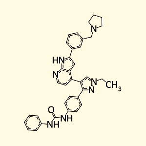 CCn1cc(-c2ccnc3[nH]c(-c4cccc(CN5CCCC5)c4)cc23)c(-c2ccc(NC(=O)Nc3ccccc3)cc2)n1